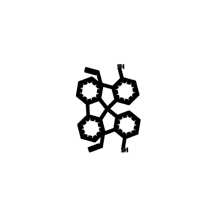 C=CCc1c(S)cccc1C1(c2cccc(S)c2CC=C)c2ccccc2-c2ccccc21